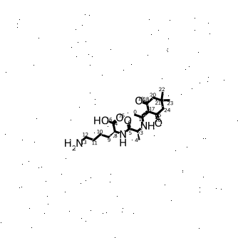 CC(N[C@@H](C)C(=O)N[C@@H](CCCCN)C(=O)O)=C1C(=O)CC(C)(C)CC1=O